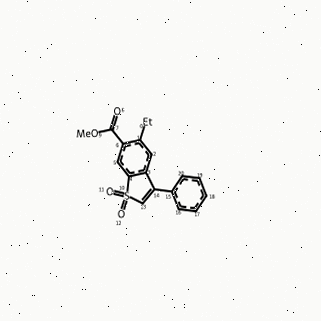 CCc1cc2c(cc1C(=O)OC)S(=O)(=O)C=C2c1ccccc1